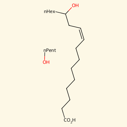 CCCCCCC(O)C/C=C\CCCCCCCC(=O)O.CCCCCO